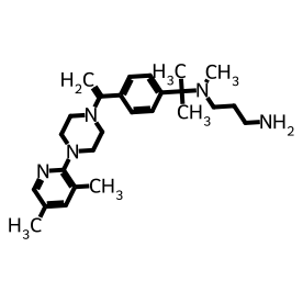 C=C(c1ccc(C(C)(C)N(C)CCCN)cc1)N1CCN(c2ncc(C)cc2C)CC1